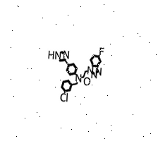 O=C(Cn1nnc2cc(F)ccc21)N(Cc1cccc(Cl)c1)c1ccc(-c2c[nH]cn2)cc1